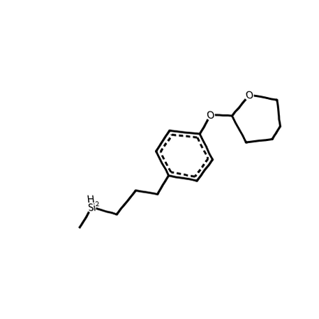 C[SiH2]CCCc1ccc(OC2CCCCO2)cc1